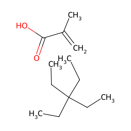 C=C(C)C(=O)O.CCC(CC)(CC)CC